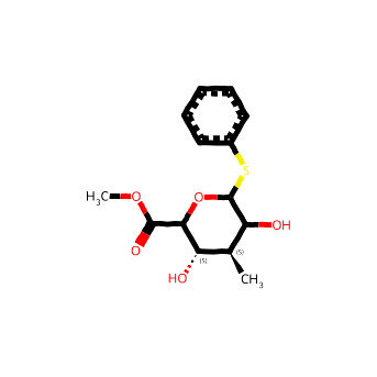 COC(=O)C1OC(Sc2ccccc2)C(O)[C@@H](C)[C@@H]1O